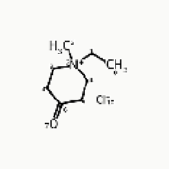 CC[N+]1(C)CCC(=O)CC1.[Cl-]